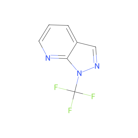 FC(F)(F)n1ncc2cccnc21